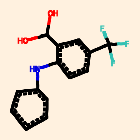 OC(O)c1cc(C(F)(F)F)ccc1Nc1ccccc1